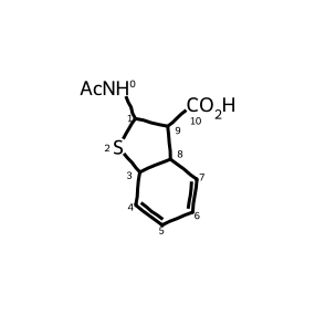 CC(=O)NC1SC2C=CC=CC2C1C(=O)O